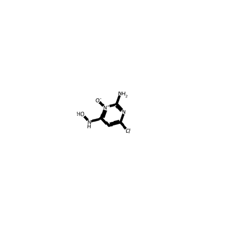 Nc1nc(Cl)cc(NO)[n+]1[O-]